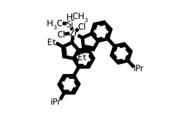 CCC1=Cc2c(-c3ccc(C(C)C)cc3)cccc2[CH]1[Zr]([Cl])([Cl])([CH]1C(CC)=Cc2c(-c3ccc(C(C)C)cc3)cccc21)[SiH](C)C